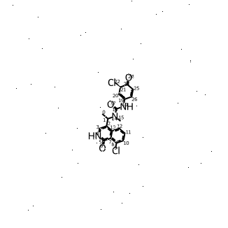 CC(c1c[nH]c(=O)c2c(Cl)cccc12)N(C)C(=O)NC1=C[C@@H](Cl)C(=O)C=C1